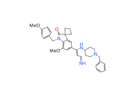 COc1ccc(CN2C(=O)C3(CCC3)c3cc(/C(=C/C=N)NC4CCN(Cc5ccccc5)CC4)cc(OC)c32)cc1